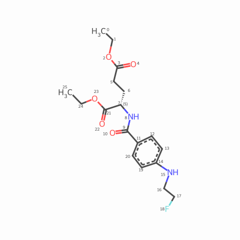 CCOC(=O)CC[C@H](NC(=O)c1ccc(NCCF)cc1)C(=O)OCC